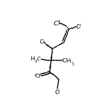 CC(C)(C(=O)CCl)C(Cl)C=C(Cl)Cl